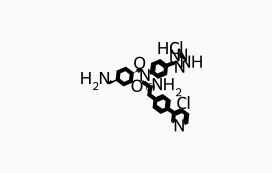 Cl.NC[C@H]1CC[C@H](C(=O)N(C(=O)[C@@H](N)Cc2ccc(-c3cnccc3Cl)cc2)c2ccc(-c3nn[nH]n3)cc2)CC1